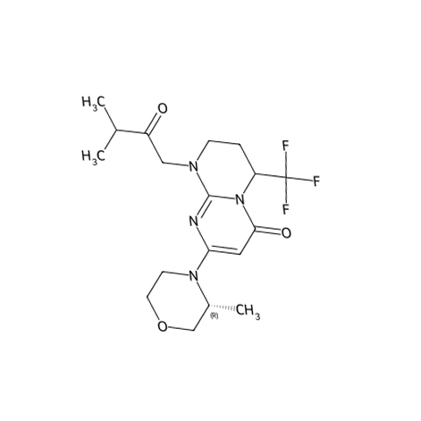 CC(C)C(=O)CN1CCC(C(F)(F)F)n2c1nc(N1CCOC[C@H]1C)cc2=O